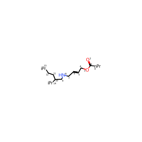 CCCC(=O)OC/C=C/CNCC(CCC(C)C)C(C)C